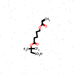 C=CC(=O)OCCCCC(=O)OC(CS(=O)(=O)O)(C(F)(F)F)C(F)(F)F